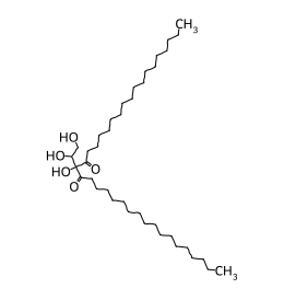 CCCCCCCCCCCCCCCCCC(=O)C(O)(C(=O)CCCCCCCCCCCCCCCCC)C(O)CO